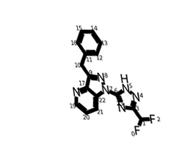 FC(F)c1n[nH]c(-n2nc(Cc3ccccc3)c3ncccc32)n1